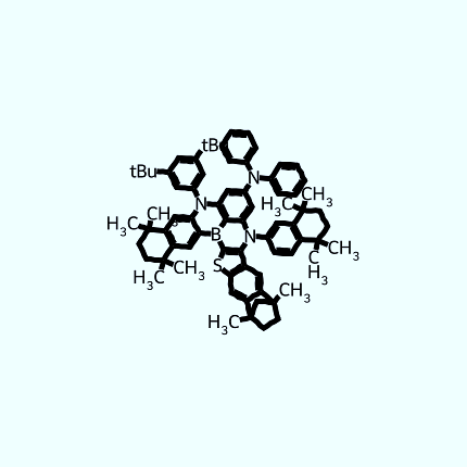 CC(C)(C)c1cc(N2c3cc4c(cc3B3c5sc6cc7c(cc6c5N(c5ccc6c(c5)C(C)(C)CCC6(C)C)c5cc(N(c6ccccc6)c6ccccc6)cc2c53)C2(C)CCC7(C)C2)C(C)(C)CCC4(C)C)cc(C(C)(C)C)c1